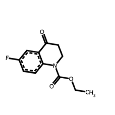 CCOC(=O)N1CCC(=O)c2cc(F)ccc21